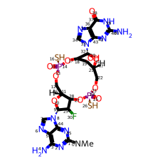 CNc1nc(N)c2ncn([C@@H]3O[C@@H]4CO[P@@](=O)(S)OC5C(O)[C@@H](CO[P@@](=O)(S)OC4C3F)O[C@H]5n3cnc4c(=O)[nH]c(N)nc43)c2n1